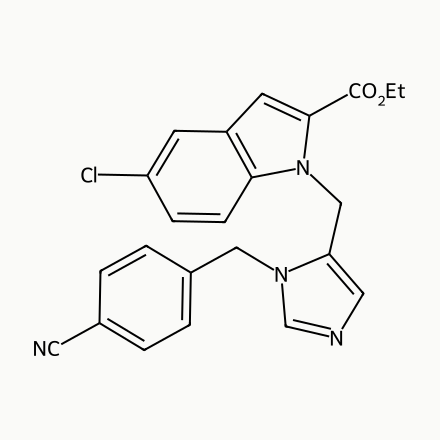 CCOC(=O)c1cc2cc(Cl)ccc2n1Cc1cncn1Cc1ccc(C#N)cc1